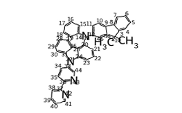 CC1(C)c2ccccc2-c2ccc(N(c3ccccc3)c3cccc4c3c3ccccc3n4-c3ccc(-c4ccccn4)nc3)cc21